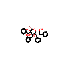 OC(Cc1ccccc1)[C@H]1O[C@H](Br)[C@@](O)(Cc2ccccc2)[C@](O)(Cc2ccccc2)[C@@]1(O)Cc1ccccc1